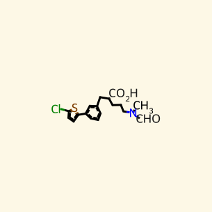 CN(C=O)CCCC(Cc1cccc(-c2ccc(Cl)s2)c1)C(=O)O